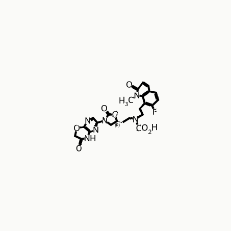 Cn1c(=O)ccc2ccc(F)c(CCN(CC[C@@H]3CN(c4cnc5c(n4)NC(=O)CO5)C(=O)O3)C(=O)O)c21